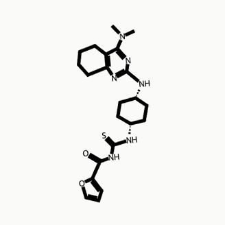 CN(C)c1nc(N[C@H]2CC[C@@H](NC(=S)NC(=O)c3ccco3)CC2)nc2c1CCCC2